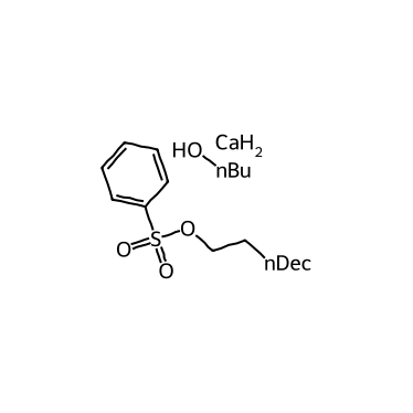 CCCCCCCCCCCCOS(=O)(=O)c1ccccc1.CCCCO.[CaH2]